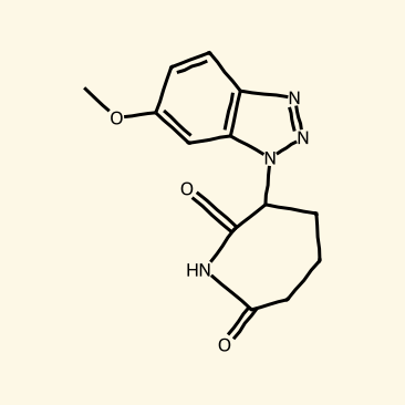 COc1ccc2nnn(C3CCCC(=O)NC3=O)c2c1